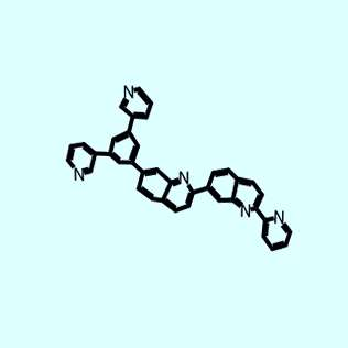 c1ccc(-c2ccc3ccc(-c4ccc5ccc(-c6cc(-c7cccnc7)cc(-c7cccnc7)c6)cc5n4)cc3n2)nc1